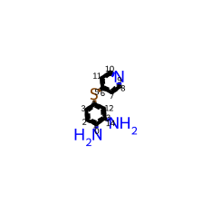 Nc1ccc(Sc2ccncc2)cc1N